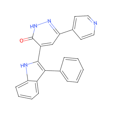 O=c1[nH]nc(-c2ccncc2)cc1-c1[nH]c2ccccc2c1-c1ccccc1